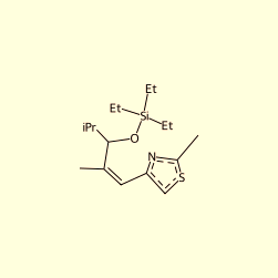 CC[Si](CC)(CC)OC(C(C)=Cc1csc(C)n1)C(C)C